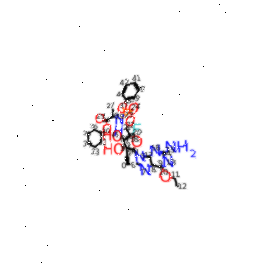 C#C[C@]1(O)[C@H](N2C=NC3C(OCC)=NC(N)=NC32)O[C@](F)(COP(=O)(NC(C)C(=O)OC2CCCCC2)Oc2ccccc2)[C@H]1O